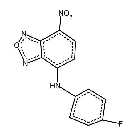 O=[N+]([O-])c1ccc(Nc2ccc(F)cc2)c2nonc12